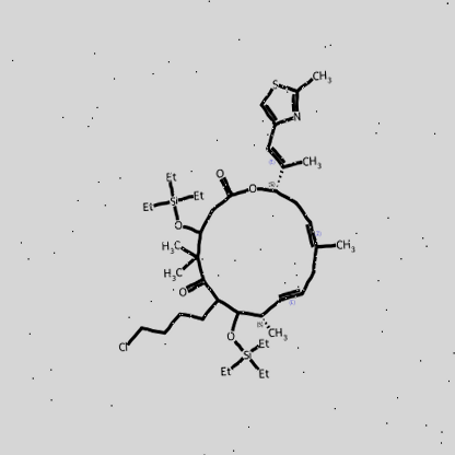 CC[Si](CC)(CC)OC1C(CCCCCl)C(=O)C(C)(C)C(O[Si](CC)(CC)CC)CC(=O)O[C@H](/C(C)=C/c2csc(C)n2)C/C=C(/C)C/C=C/[C@@H]1C